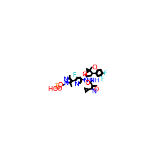 Cc1nn(COP(C)(=O)O)c(C)c1-c1ncc(NC(=O)[C@@H](NC(=O)c2conc2C2CC2)C2c3cc(F)c(F)cc3OCC23CC3)cc1F